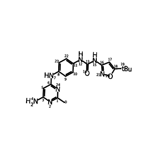 Cc1nc(N)cc(Nc2ccc(NC(=O)Nc3cc(C(C)(C)C)on3)cc2)n1